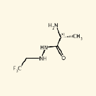 C[C@@H](N)C(=O)NNCC(F)(F)F